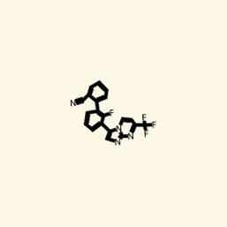 N#Cc1ccccc1-c1cccc(-c2cnc3nc(C(F)(F)F)ccn23)c1F